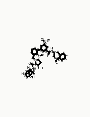 COc1c(CN2CC[C@H](O)[C@H]2C(=O)N[C@H]2C[C@H]3C[C@@H]([C@@H]2C)C3(C)C)cccc1-c1cc(C(=O)N[C@@H](Cc2ccccc2)CN(C)C)cc([N+](=O)[O-])c1